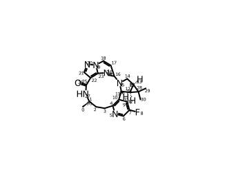 C[C@@H]1CCc2ncc(F)cc2[C@H]2[C@H]3[C@@H](CN2c2ccn4ncc(c4n2)C(=O)N1)C3(C)C